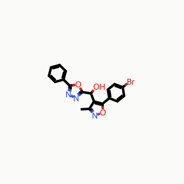 Cc1noc(-c2ccc(Br)cc2)c1C(O)c1nnc(-c2ccccc2)o1